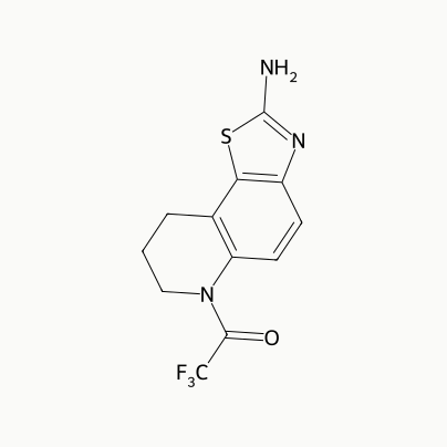 Nc1nc2ccc3c(c2s1)CCCN3C(=O)C(F)(F)F